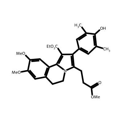 CCOC(=O)c1c(-c2cc(C)c(O)c(C)c2)c(CCC(=O)OC)n2c1-c1cc(OC)c(OC)cc1CC2